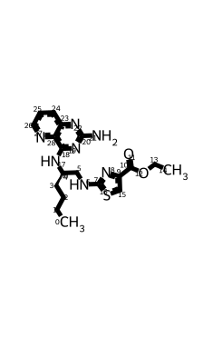 CCCC[C@H](CNc1nc(C(=O)OCC)cs1)Nc1nc(N)nc2cccnc12